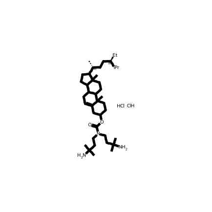 CC[C@H](CC[C@@H](C)C1CCC2C3CC=C4CC(OC(=O)N(CCC(C)(C)N)CCC(C)(C)N)CCC4(C)C3CCC21C)C(C)C.Cl.Cl